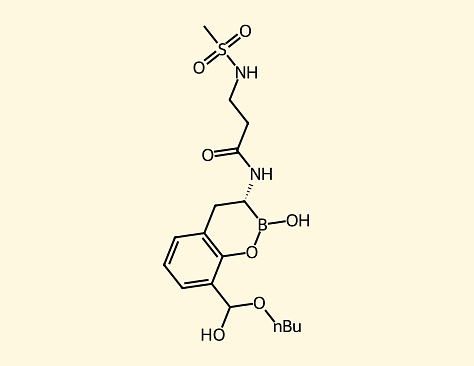 CCCCOC(O)c1cccc2c1OB(O)[C@@H](NC(=O)CCNS(C)(=O)=O)C2